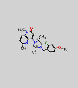 CC[C@@H]1CN(c2cc(=O)n(C)c3ccc(C#N)nc23)[C@@H](C)CN1Cc1ccc(OC(F)(F)F)cc1F